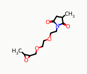 CC1CC(=O)N(CCOCCOCC2OC2C)C1=O